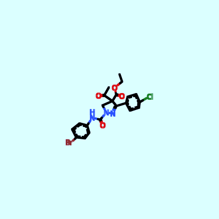 CCOC(=O)C1(C(C)=O)CN(C(=O)Nc2ccc(Br)cc2)N=C1c1ccc(Cl)cc1